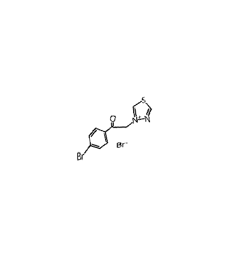 O=C(C[n+]1cscn1)c1ccc(Br)cc1.[Br-]